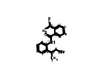 CC(C)CC(C)c1ccccc1NC(=O)c1ccccc1C(F)F